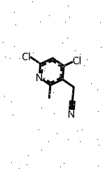 Cc1nc(Cl)cc(Cl)c1CC#N